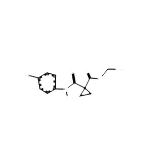 CCOC(=O)C1(C(=O)N(C)c2ccc(Cl)cc2)CC1